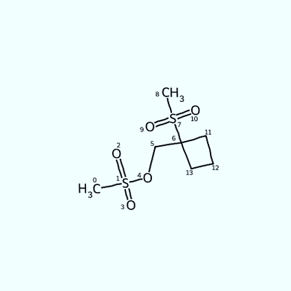 CS(=O)(=O)OCC1(S(C)(=O)=O)CCC1